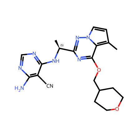 Cc1ccn2nc([C@H](C)Nc3ncnc(N)c3C#N)nc(OCC3CCOCC3)c12